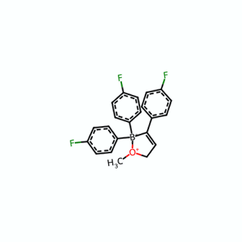 C[O+]1CC=C(c2ccc(F)cc2)[B-]1(c1ccc(F)cc1)c1ccc(F)cc1